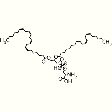 CCCCC/C=C\C/C=C\C/C=C\C/C=C\CCCCCC(=O)OC[C@H](COP(=O)(O)OC[C@H](N)C(=O)O)OC(=O)CCCCCC/C=C\C/C=C\C/C=C\CCCCC